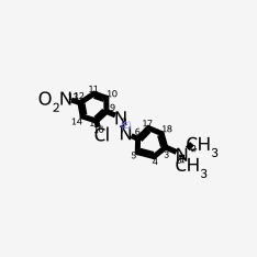 CN(C)c1ccc(/N=N/c2ccc([N+](=O)[O-])cc2Cl)cc1